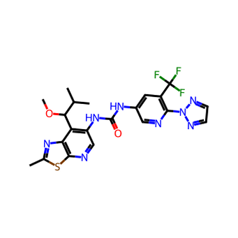 COC(c1c(NC(=O)Nc2cnc(-n3nccn3)c(C(F)(F)F)c2)cnc2sc(C)nc12)C(C)C